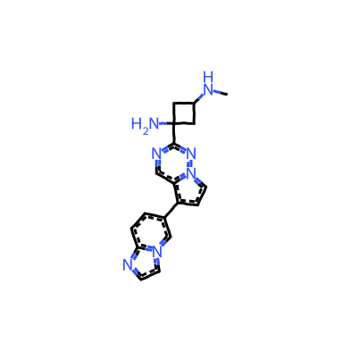 CNC1CC(N)(c2ncc3c(-c4ccc5nccn5c4)ccn3n2)C1